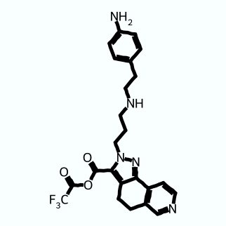 Nc1ccc(CCNCCCn2nc3c(c2C(=O)OC(=O)C(F)(F)F)CCc2cnccc2-3)cc1